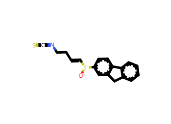 [O-][S+](/C=C/CCN=C=S)c1ccc2c(c1)Cc1ccccc1-2